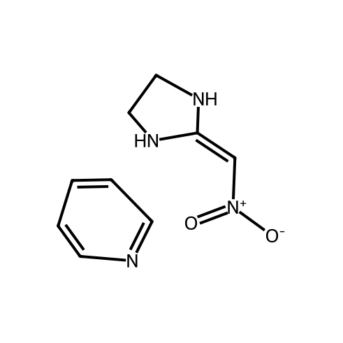 O=[N+]([O-])C=C1NCCN1.c1ccncc1